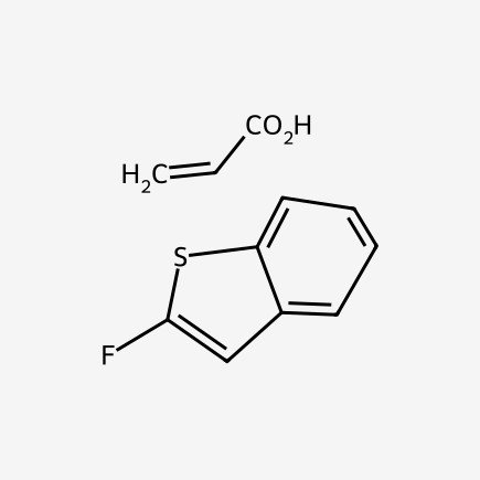 C=CC(=O)O.Fc1cc2ccccc2s1